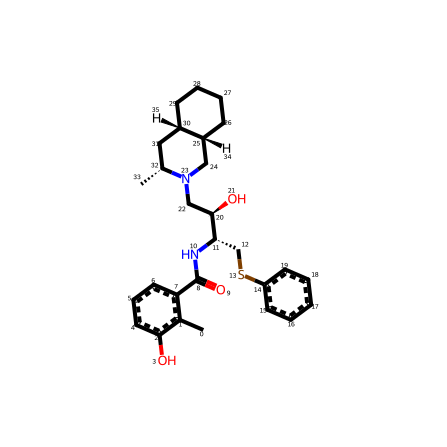 Cc1c(O)cccc1C(=O)N[C@@H](CSc1ccccc1)[C@H](O)CN1C[C@H]2CCCC[C@H]2C[C@H]1C